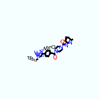 COc1cc(C(=O)N2CCN(c3nc4nc(C)ccc4o3)CC2)ccc1/C(N)=C/N(N)CC(C)(C)C